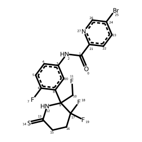 O=C(Nc1ccc(F)c(C2(CF)NC(=S)CCC2(F)F)c1)c1ccc(Br)cn1